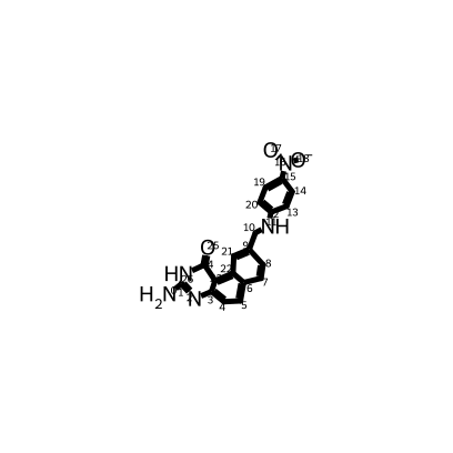 Nc1nc2ccc3ccc(CNc4ccc([N+](=O)[O-])cc4)cc3c2c(=O)[nH]1